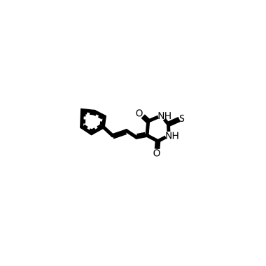 O=C1NC(=S)NC(=O)C1=CC=Cc1ccccc1